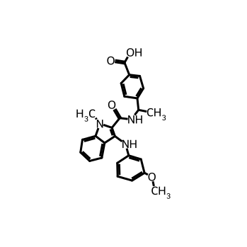 COc1cccc(Nc2c(C(=O)NC(C)c3ccc(C(=O)O)cc3)n(C)c3ccccc23)c1